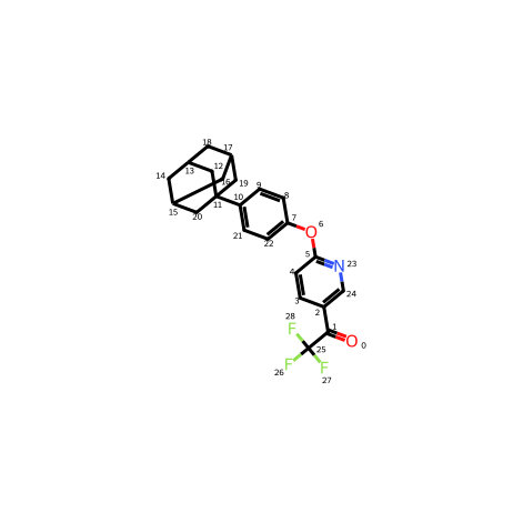 O=C(c1ccc(Oc2ccc(C34CC5CC(CC(C5)C3)C4)cc2)nc1)C(F)(F)F